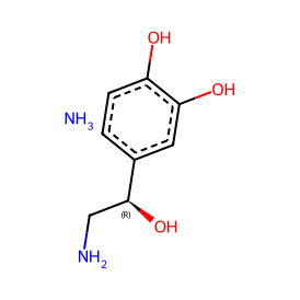 N.NC[C@H](O)c1ccc(O)c(O)c1